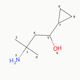 CC(C)(N)CC(O)C1CC1